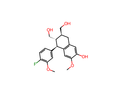 COc1cc2c(cc1O)C[C@H](CO)[C@@H](CO)[C@@H]2c1ccc(F)c(OC)c1